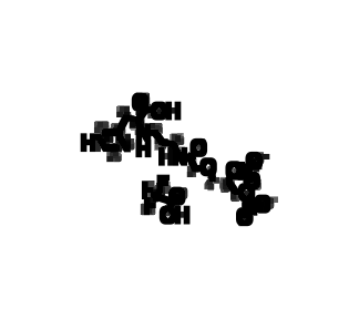 O=C(COC[C@@H](CO[N+](=O)[O-])O[N+](=O)[O-])NCCCN[C@@H](Cc1c[nH]cn1)C(=O)O.O=C(O)C(F)(F)F